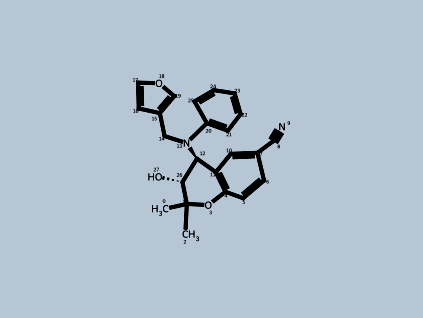 CC1(C)Oc2ccc(C#N)cc2[C@H](N(Cc2ccoc2)c2ccccc2)[C@H]1O